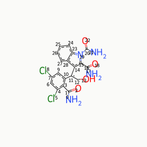 NC(=O)c1c(Cl)cc(Cl)cc1[C](CO)c1c(C(N)=O)n(C(N)=O)c2ccccc12